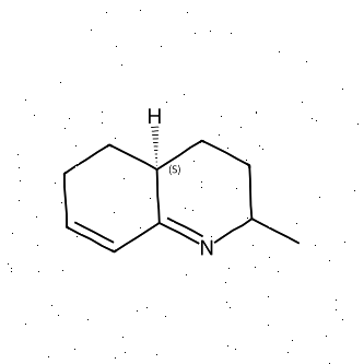 CC1CC[C@@H]2CCC=CC2=N1